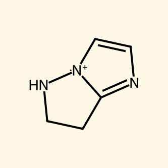 C1=C[N+]2NCCC2=N1